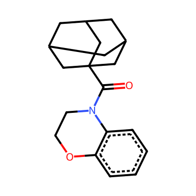 O=C(N1CCOc2ccccc21)C12CC3CC(CC(C3)C1)C2